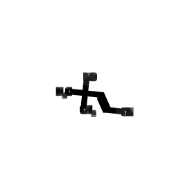 CC(C)(C=CC#N)N=O